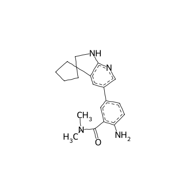 CN(C)C(=O)c1cc(-c2cnc3c(c2)C2(CCCC2)CN3)ccc1N